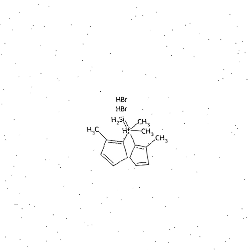 Br.Br.CC1=[C]([Hf]([CH3])([CH3])(=[SiH2])[C]2=C(C)C=CC2)CC=C1